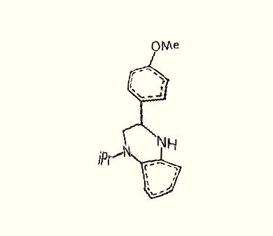 COc1ccc(C2CN(C(C)C)c3ccccc3N2)cc1